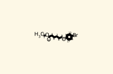 CCOC(=O)CCCCCOc1ccc(Br)cc1